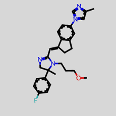 COCCCN1C(/C=C2\CCc3cc(-n4cnc(C)c4)ccc32)=NCC1(C)c1ccc(F)cc1